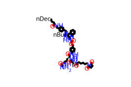 CCCCCCCCCCCCCC(=O)NCc1ccc(Cn2c(CCCC)nc3c(NC(=O)OCc4ccc(NC(=O)[C@H](CCCNC(N)=O)NC(=O)[C@@H](NC(=O)CCCCCN5C(=O)C=CC5=O)C(C)C)cc4)nc4ccccc4c32)cc1